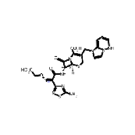 Nc1nc(/C(=N/OCC(=O)O)C(=O)N[C@@H]2C(=O)N3C(C(=O)O)=C(CN4C=CN5NC=CC=C45)CS[C@@H]23)ns1